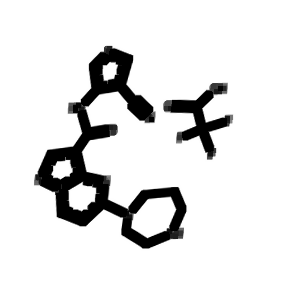 N#Cc1cscc1NC(=O)c1cnn2ccc(N3CCCNCC3)nc12.O=C(O)C(F)(F)F